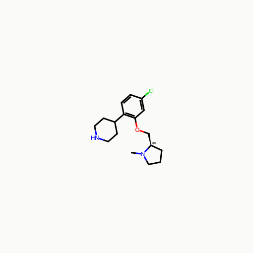 CN1CCC[C@@H]1COc1cc(Cl)ccc1C1CCNCC1